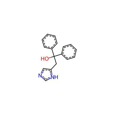 OC(Cc1cnc[nH]1)(c1ccccc1)c1ccccc1